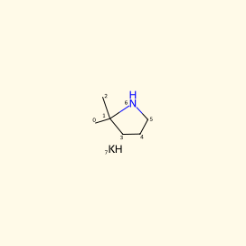 CC1(C)CCCN1.[KH]